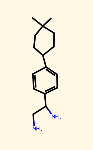 CC1(C)CCC(c2ccc(C(N)CN)cc2)CC1